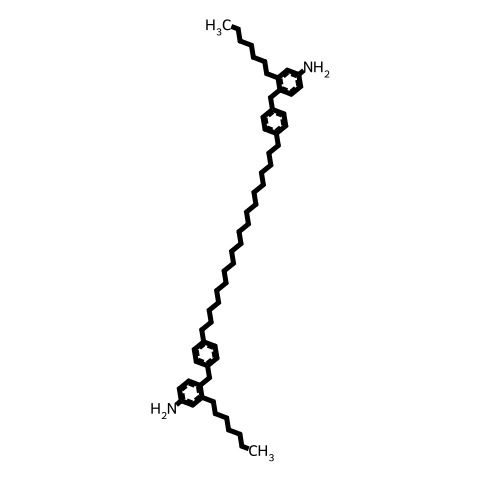 CCCCCCCc1cc(N)ccc1Cc1ccc(CCCCCCCCCCCCCCCCCCCCc2ccc(Cc3ccc(N)cc3CCCCCCC)cc2)cc1